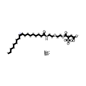 CCCCCCCC/C=C\CCCCCCCC(=O)NCCOCCOC(=O)C(CC(=O)[O-])S(=O)(=O)[O-].[Na+].[Na+]